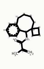 C=C(C)C(=O)OC1c2ccccc2CCCCC12CCC2